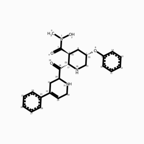 CN(O)C(=O)[C@H]1C[C@H](Oc2ccccc2)CN[C@@H]1C(=O)C1CC(c2ccccc2)=CCN1